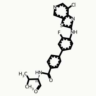 CC(C)[C@@H](C=O)NC(=O)c1ccc(-c2ccc(Nc3nc4c(Cl)cncc4s3)c(F)c2)cc1